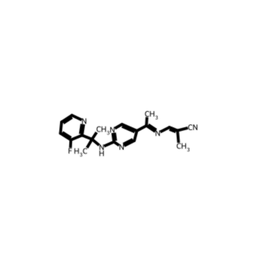 C/C(C#N)=C\N=C(/C)c1cnc(NC(C)(C)c2ncccc2F)nc1